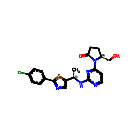 C[C@H](Nc1nccc(N2C(=O)CC[C@@H]2CO)n1)c1cnc(-c2ccc(Cl)cc2)s1